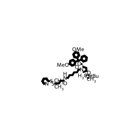 COc1ccc(C(OC[C@@H]2C[C@@H](O[Si](C)(C)C(C)(C)C)CN2C(=O)CCCCCNC(=O)CCC(C)(C)SSc2ccccn2)(c2ccccc2)c2ccc(OC)cc2)cc1